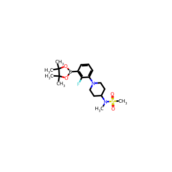 CN(C1CCN(c2cccc(B3OC(C)(C)C(C)(C)O3)c2F)CC1)S(C)(=O)=O